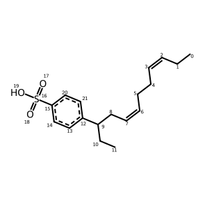 CC/C=C\CC/C=C\CC(CC)c1ccc(S(=O)(=O)O)cc1